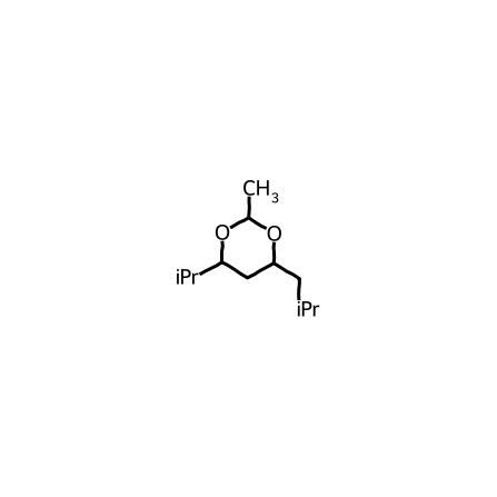 CC(C)CC1CC(C(C)C)OC(C)O1